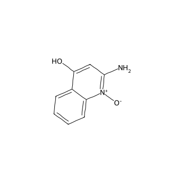 Nc1cc(O)c2ccccc2[n+]1[O-]